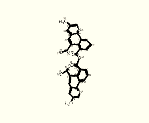 Cc1cnc2c(c1)cc(C(=O)O)c1c(C(=O)OC(=O)c3cccc4c3c(C(=O)O)cc3cc(C)cnc34)cccc12